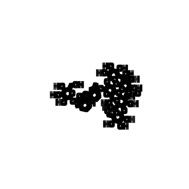 C=C1C[C@@]23CC[C@@H]4C(C)(C(=O)OC5OC(CO)C(O)C(O)C5O)CCC[C@@]4(C)[C@@H]2CC[C@]1(OC1OC(CO)C(OC2OC(CO)C(OC4OC(CO)C(O)C(O)C4O)C(O)C2O)C(OC2OC(C=O)C(O)C(O)C2O)C1OC1OC(CO)C(O)C(O)C1O)C3